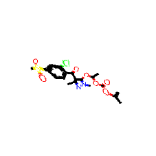 Cc1nn(C)c(OC(C)OC(=O)OC(C)C)c1C(=O)c1ccc(S(C)(=O)=O)cc1Cl